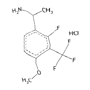 COc1ccc(C(C)N)c(F)c1C(F)(F)F.Cl